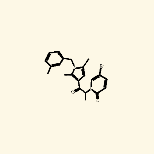 Cc1cccc(Cn2c(C)cc(C(=O)C(C)n3cc(Br)ccc3=O)c2C)c1